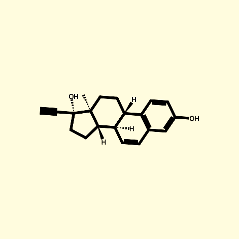 C#C[C@]1(O)CC[C@H]2[C@@H]3C=Cc4cc(O)ccc4[C@H]3CC[C@@]21C